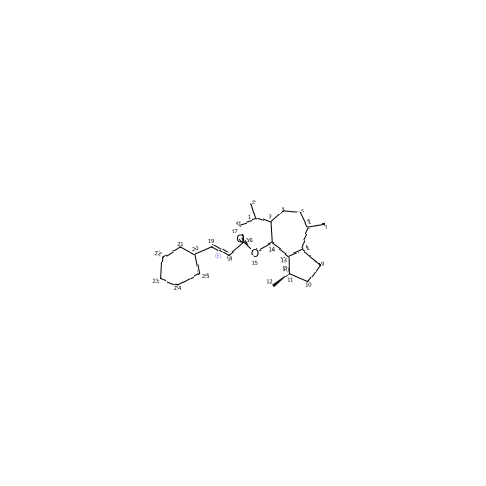 CC(C)C1CCC(C)C2CC[C@@H](C)C2C1OC(=O)/C=C/C1CCCCC1